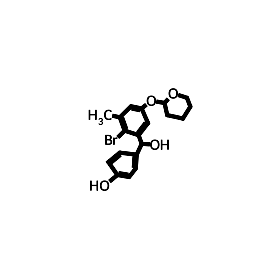 Cc1cc(OC2CCCCO2)cc(C(O)c2ccc(O)cc2)c1Br